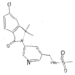 CC1(C)c2cc(Cl)ccc2C(=O)N1c1cncc(CNS(C)(=O)=O)c1